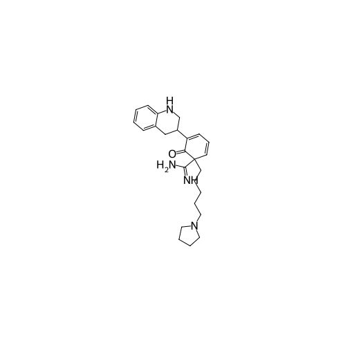 N=C(N)C1(CCCCCN2CCCC2)C=CC=C(C2CNc3ccccc3C2)C1=O